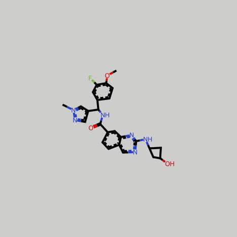 COc1ccc(C(NC(=O)c2ccc3cnc(NC4CC(O)C4)nc3c2)c2cnn(C)c2)cc1F